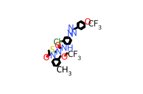 Cc1ccc(N2C(=O)CS/C2=N\C(=O)Nc2ccc(-n3cnc(-c4ccc(OC(F)(F)F)cc4)n3)cc2Cl)c(COCC(F)(F)F)c1